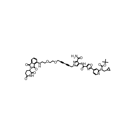 CC(C)(C)OC(=O)N(CC1CC1)c1cc(-c2nc(C(=O)Nc3cn(CC#CC#CCOCCOCCNc4cccc5c4C(=O)N(C4CCC(=O)NC4=O)C5=O)nc3C(N)=O)co2)ccn1